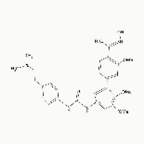 COc1cc(-c2cc(NC(=O)Nc3ccc(CCN(C)C)cc3)cc(OC)c2OC)ccc1C(C)=NO